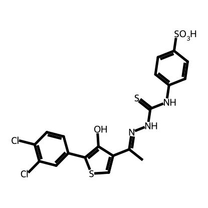 C/C(=N\NC(=S)Nc1ccc(S(=O)(=O)O)cc1)c1csc(-c2ccc(Cl)c(Cl)c2)c1O